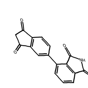 O=C1CC(=O)c2cc(-c3cccc4c3C(=O)NC4=O)ccc21